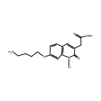 CCn1c(=O)c(CC(=O)OC)cc2ccc(OCCCCN)cc21